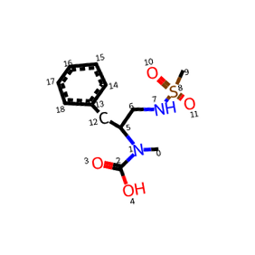 CN(C(=O)O)C(CNS(C)(=O)=O)Cc1ccccc1